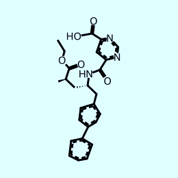 CCOC(=O)[C@H](C)C[C@@H](Cc1ccc(-c2ccccc2)cc1)NC(=O)c1cc(C(=O)O)ncn1